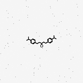 CC(C)c1ccc(CCC(=O)CCc2ccc(C(C)C)cc2)cc1